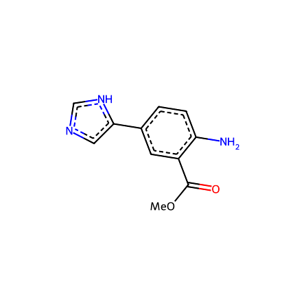 COC(=O)c1cc(-c2cnc[nH]2)ccc1N